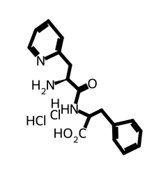 Cl.Cl.N[C@@H](Cc1ccccn1)C(=O)NC(Cc1ccccc1)C(=O)O